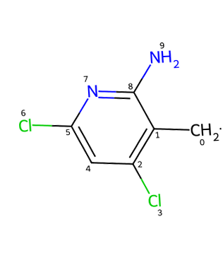 [CH2]c1c(Cl)cc(Cl)nc1N